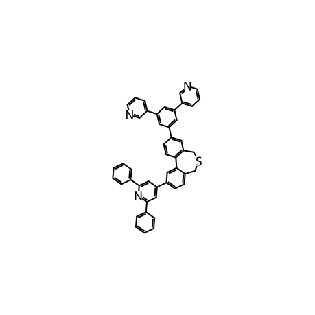 c1ccc(-c2cc(-c3ccc4c(c3)-c3ccc(-c5cc(-c6cccnc6)cc(-c6cccnc6)c5)cc3CSC4)cc(-c3ccccc3)n2)cc1